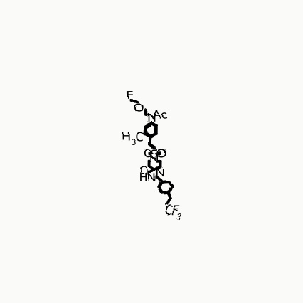 CC(=O)N(CCOCCF)c1ccc(CCS(=O)(=O)N2CCC3(CC2)N=C(C2CCC(CCC(F)(F)F)CC2)NC3=O)c(C)c1